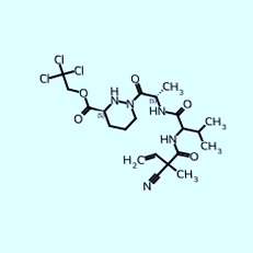 C=CC(C)(C#N)C(=O)NC(C(=O)N[C@@H](C)C(=O)N1CCC[C@@H](C(=O)OCC(Cl)(Cl)Cl)N1)C(C)C